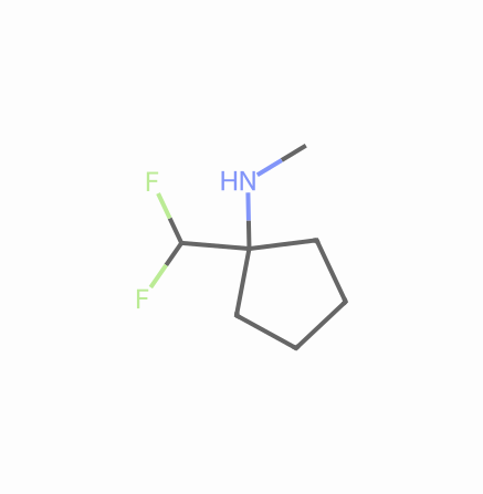 CNC1(C(F)F)CCCC1